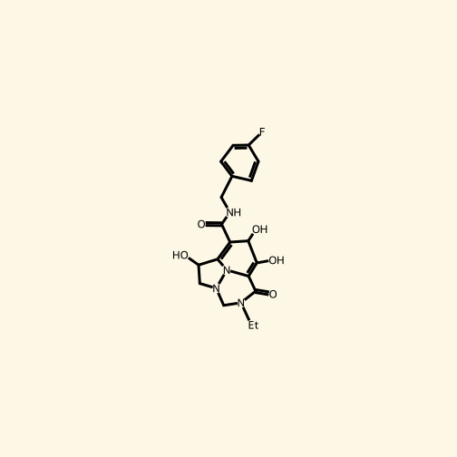 CCN1CN2CC(O)C3=C(C(=O)NCc4ccc(F)cc4)C(O)C(O)=C(C1=O)N32